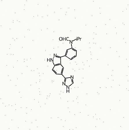 CC(C)N(C=O)c1cccc(-c2n[nH]c3ccc(-c4nc[nH]n4)cc23)c1